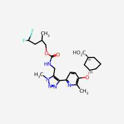 Cc1nc(-c2nnn(C)c2CNC(=O)OCC(C)CC(F)F)ccc1O[C@H]1CCC[C@H](C(=O)O)C1